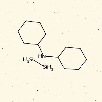 C1CCC(NC2CCCCC2)CC1.[SiH3][SiH3]